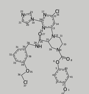 COc1ccc(OC(=O)N2CCN(c3cc(Cl)nc(-n4ccnc4)n3)C(C(=O)NCc3cccc(OCCl)c3)C2)cc1